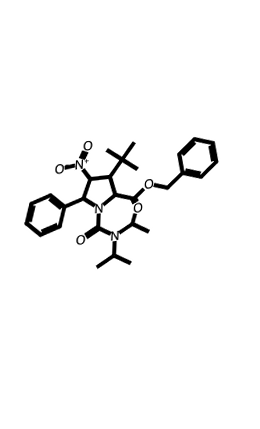 CC(C)N(C(=O)N1C(C(=O)OCc2ccccc2)C(C(C)(C)C)C([N+](=O)[O-])C1c1ccccc1)C(C)C